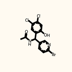 CC(=O)NC(c1ccc(Br)nc1)c1cc(Cl)c(Cl)cc1O